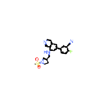 CS(=O)(=O)N1CCC(CNc2cc(-c3ccc(F)c(C#N)c3)cc3ccncc23)C1